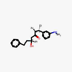 BNc1cccc([C@@H](CC)[C@H](C(C)=O)C(=O)C[C@@](O)(CCC)CCc2ccccc2)c1